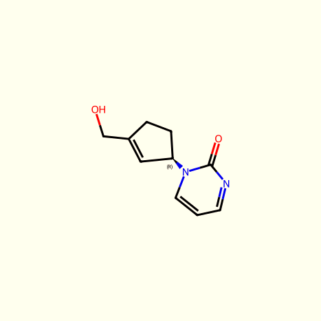 O=c1ncccn1[C@H]1C=C(CO)CC1